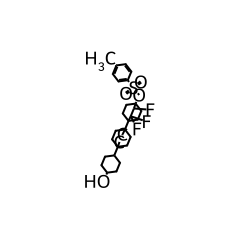 Cc1ccc(S(=O)(=O)OC23CCC(C45CCC(C6CCC(O)CC6)(CC4)CC5)(CC2)C(F)(F)C3F)cc1